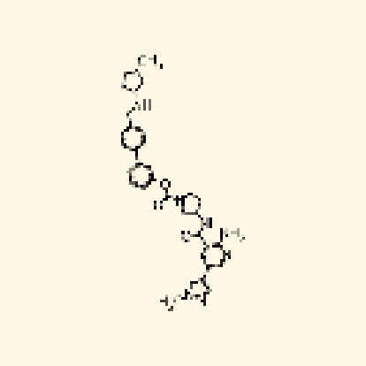 CN1CC[C@@H](NCc2ccc(-c3cccc(OC(=O)N4CC[C@@H](NC(=O)c5cc(-c6cnn(C)c6)cnc5N)C4)c3)cc2)C1